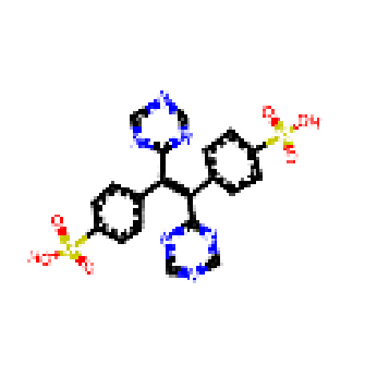 O=S(=O)(O)c1ccc(C(=C(c2ccc(S(=O)(=O)O)cc2)c2ncncn2)c2ncncn2)cc1